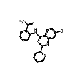 NC(=O)c1ccccc1Nc1nc(-c2cnccn2)nc2cc(Cl)ccc12